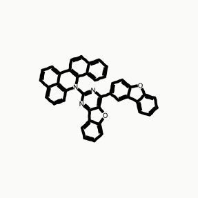 c1ccc2c3c(ccc2c1)-c1cccc2cccc(c12)N3c1nc(-c2ccc3oc4ccccc4c3c2)c2oc3ccccc3c2n1